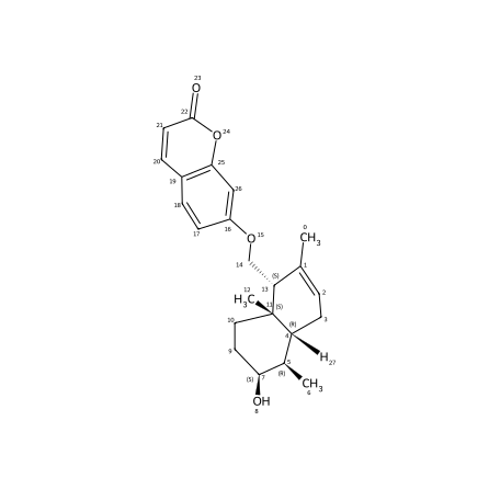 CC1=CC[C@@H]2[C@@H](C)[C@@H](O)CC[C@]2(C)[C@@H]1COc1ccc2ccc(=O)oc2c1